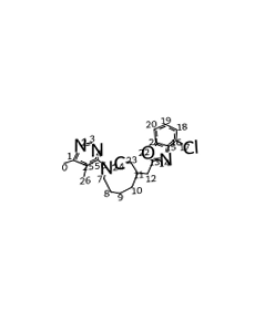 Cc1ncnc(N2CCCCC(Cc3nc4c(Cl)cccc4o3)CC2)c1C